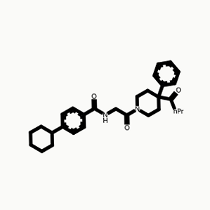 CCCC(=O)C1(c2ccccc2)CCN(C(=O)CNC(=O)c2ccc(C3CCCCC3)cc2)CC1